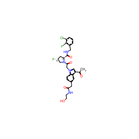 CC(=O)c1cn(CC(=O)N2C[C@H](F)C[C@H]2C(=O)NCc2cccc(Cl)c2F)c2ccc(CC(=O)NCCO)cc12